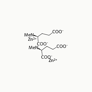 CN[C@@H](CCC(=O)[O-])C(=O)[O-].CN[C@@H](CCC(=O)[O-])C(=O)[O-].[Zn+2].[Zn+2]